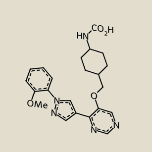 COc1ccccc1-n1cc(-c2ncncc2OCC2CCC(NC(=O)O)CC2)cn1